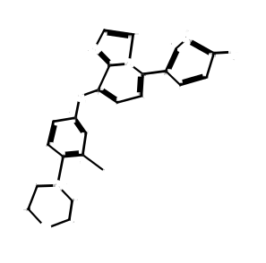 Oc1ccc(-c2ccc(Nc3ccc(N4CCOCC4)c(F)c3)c3nccn23)cn1